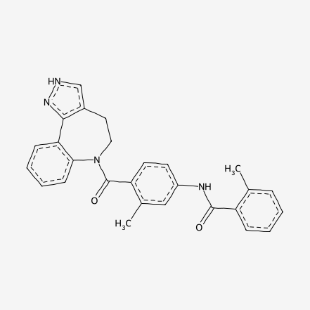 Cc1ccccc1C(=O)Nc1ccc(C(=O)N2CCc3c[nH]nc3-c3ccccc32)c(C)c1